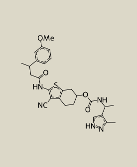 COc1cccc(C(C)CC(=O)Nc2sc3c(c2C#N)CCC(OC(=O)NC(C)c2c[nH]nc2C)C3)c1